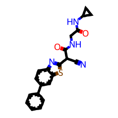 N#CC(C(=O)NCC(=O)NC1CC1)c1nc2ccc(-c3ccccc3)cc2s1